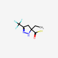 CCC1(C(=O)S)CC(C(F)(F)F)=NN1